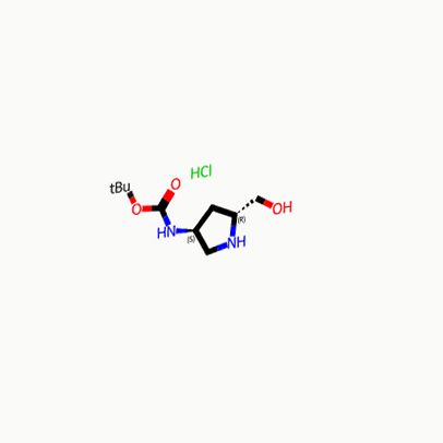 CC(C)(C)OC(=O)N[C@@H]1CN[C@@H](CO)C1.Cl